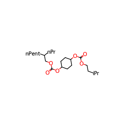 CCCCCC(CCC)COC(=O)OC1CCC(OC(=O)OCCC(C)C)CC1